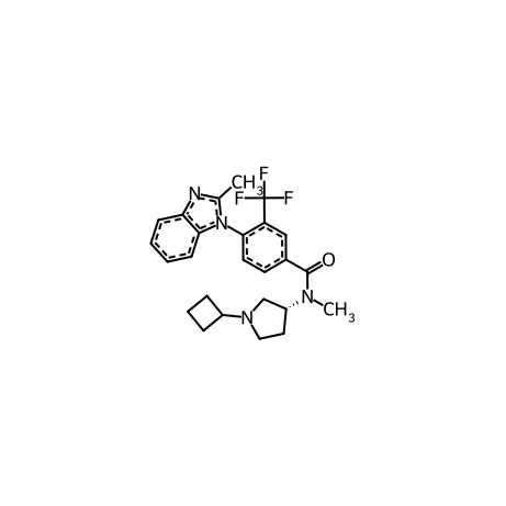 Cc1nc2ccccc2n1-c1ccc(C(=O)N(C)[C@@H]2CCN(C3CCC3)C2)cc1C(F)(F)F